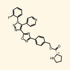 O=C(OCc1ccc(-c2noc(-c3nnn(-c4ccccc4F)c3-c3ccncc3)n2)cc1)[C@@H]1CCCN1